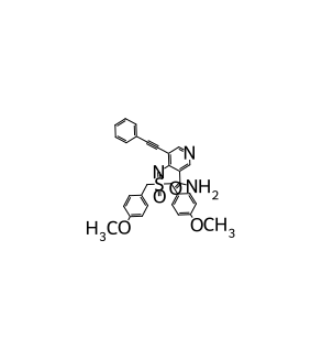 COc1ccc(CS(=O)(Cc2ccc(OC)cc2)=Nc2c(C#Cc3ccccc3)cncc2C(N)=O)cc1